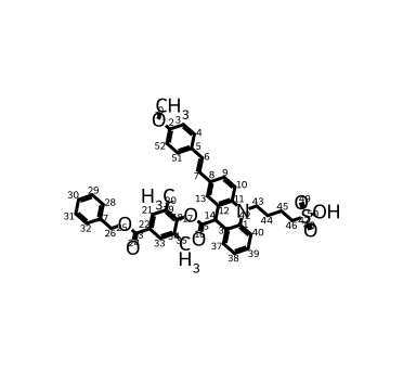 COc1ccc(C=Cc2ccc3c(c2)C(C(=O)Oc2c(C)cc(C(=O)OCc4ccccc4)cc2C)c2ccccc2N3CCCCS(=O)(=O)O)cc1